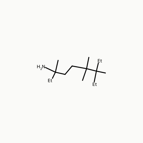 CCC(C)(N)CCC(C)(C)C(C)(CC)CC